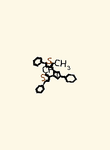 Cc1sc(-c2ccccc2)cc1C1=CC(=C2CCCCC2)C=C1c1cc(-c2ccccc2)sc1C